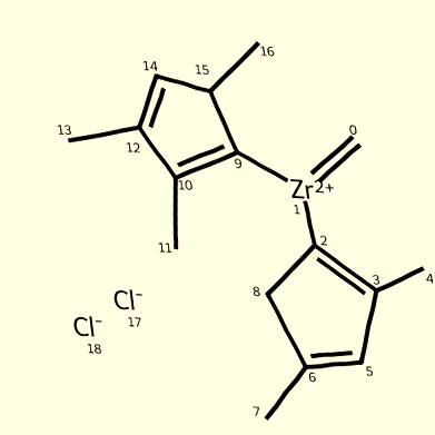 [CH2]=[Zr+2]([C]1=C(C)C=C(C)C1)[C]1=C(C)C(C)=CC1C.[Cl-].[Cl-]